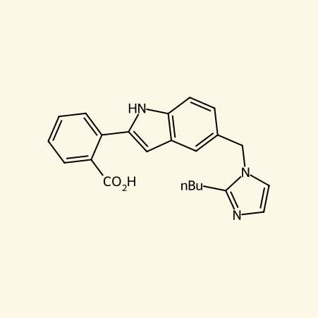 CCCCc1nccn1Cc1ccc2[nH]c(-c3ccccc3C(=O)O)cc2c1